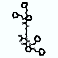 O=C(NCCCC[C@@H](NC(=O)c1cccc(OCc2ccccc2)c1OCc1ccccc1)C(=O)O)c1cccc(OCc2ccccc2)c1OCc1ccccc1